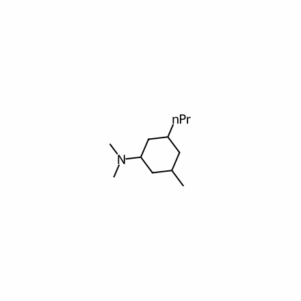 CCCC1CC(C)CC(N(C)C)C1